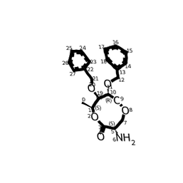 C[C@@H]1OC(=O)[C@@H](N)COC[C@@H](OCc2ccccc2)[C@@H]1OCc1ccccc1